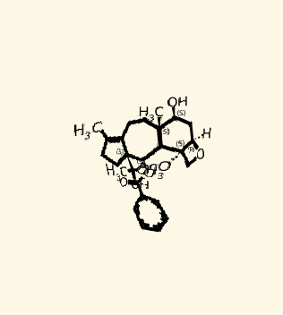 CC(=O)O[C@@]12CO[C@@H]1C[C@H](O)[C@@]1(C)CCC3=C(C)CC[C@@]3(C(C)(C)O)[C@@H](OC(=O)c3ccccc3)C12